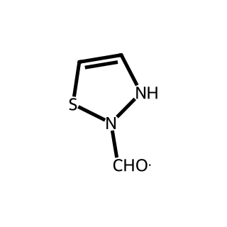 O=[C]N1NC=CS1